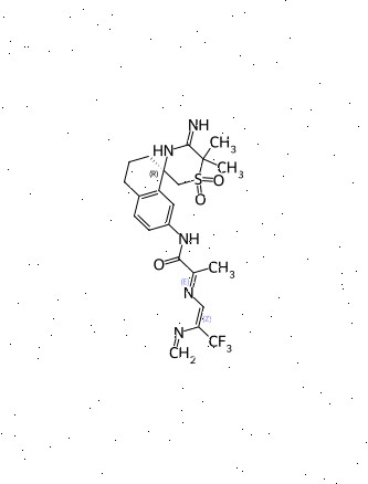 C=N/C(=C\N=C(/C)C(=O)Nc1ccc2c(c1)[C@]1(CCC2)CS(=O)(=O)C(C)(C)C(=N)N1)C(F)(F)F